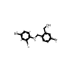 OCc1cc(Br)ccc1COc1ccc(Br)cc1F